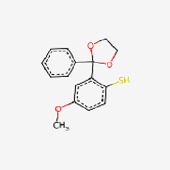 COc1ccc(S)c(C2(c3ccccc3)OCCO2)c1